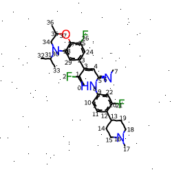 C=C(F)/C(=C\C(=N/C)Nc1ccc(C2CCN(C)CC2)c(F)c1)c1cc(F)c2c(c1)N(C(C)C)CC(C)O2